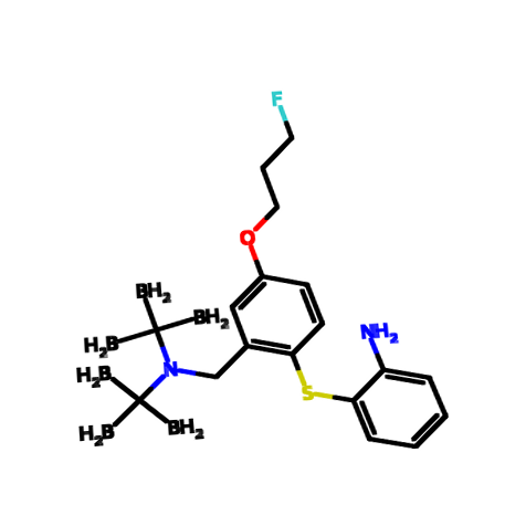 BC(B)(B)N(Cc1cc(OCCCF)ccc1Sc1ccccc1N)C(B)(B)B